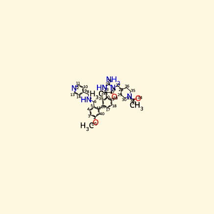 COc1ccc(CNCc2ccncc2)c(-c2cccc(C3(C)NC(N)N(CC4CCN(C(C)=O)CC4)C3=O)c2)c1